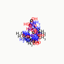 CC[C@H](C)[C@H](NC(=O)[C@H](CC(C)C)NC(=O)[C@H](CCCNC(=N)N)NC(=O)[C@H](CCCCN)NC(=O)[C@@H](NC(=O)[C@H](C)N)C(C)C)C(=O)N[C@@H](CCC(=O)O)C(=O)N[C@H](C(=O)N[C@@H](Cc1ccccc1)C(=O)N[C@H](C(=O)N1CCC[C@H]1C(=O)N[C@@H](CCC(=O)O)C(=O)N[C@@H](CC(N)=O)C(=O)N[C@@H](Cc1ccc(O)cc1)C(=O)O)C(C)C)[C@@H](C)O